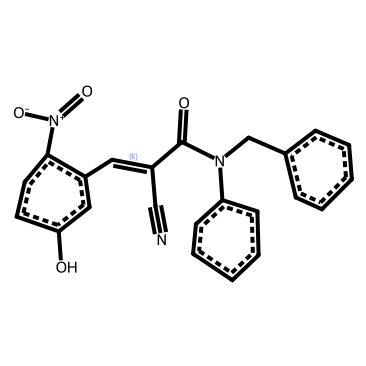 N#C/C(=C\c1cc(O)ccc1[N+](=O)[O-])C(=O)N(Cc1ccccc1)c1ccccc1